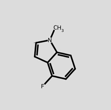 Cn1[c]cc2c(F)cccc21